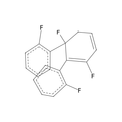 FC1=C(c2ccccc2F)C(F)(c2ccccc2F)[CH]C=C1